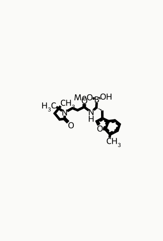 COB(O)[C@H](Cc1coc2c(C)cccc12)NC(=O)CCN1C(=O)CCC1(C)C